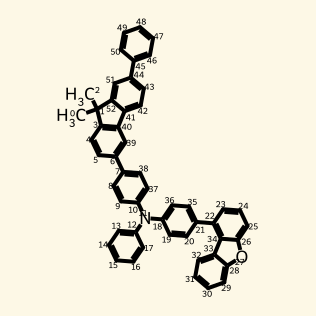 CC1(C)c2ccc(-c3ccc(N(c4ccccc4)c4ccc(-c5cccc6oc7ccccc7c56)cc4)cc3)cc2-c2ccc(-c3ccccc3)cc21